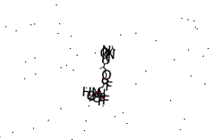 CC(C)c1noc(N2CCC([C@H](C)CCOc3ccc(CC[C@@H](NC(=O)OC(C)(C)C)N4CCC(F)(F)C4)c(F)c3)CC2)n1